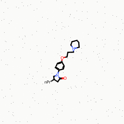 CCCC1CC(=O)N(c2ccc(OCCCN3CCCCC3)cc2)C1